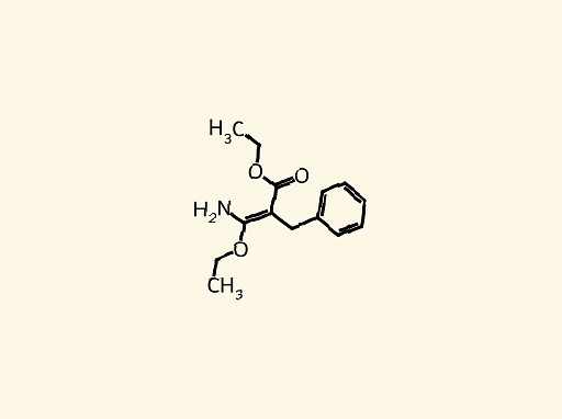 CCOC(=O)C(Cc1ccccc1)=C(N)OCC